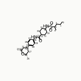 CCCC(C)S(=O)(=O)NC1CCC(C(=O)Nc2ccc(N3C[C@@H](C)O[C@@H](C)C3)cc2)CC1